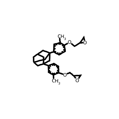 Cc1cc(C23CC4CC(C2)CC(c2ccc(OCC5CO5)c(C)c2)(C4)C3)ccc1OCC1CO1